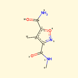 CNC(=O)c1noc(C(N)=O)c1C